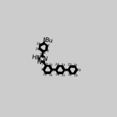 CC(C)(C)c1ccc(-c2nc(-c3cccc(-c4ccc(-c5ccccc5)cc4)c3)n[nH]2)cc1